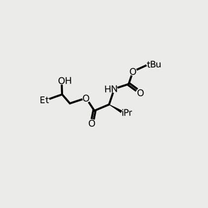 CCC(O)COC(=O)[C@@H](NC(=O)OC(C)(C)C)C(C)C